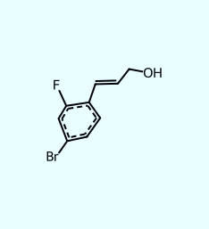 OCC=Cc1ccc(Br)cc1F